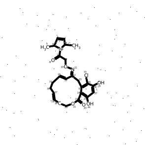 CC1C=CC(C)N1C(=O)CO/N=C1\C=C\CC/C=C/CCOC(=O)c2c(O)cc(O)c(Cl)c2C1